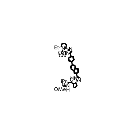 CC[C@H]1CCC[C@@H](c2ncc(-c3ccc(-c4ccc5cc(-c6cnc([C@@H]7CCCC7C(=O)[C@@H](NC(=O)OC)C(C)C)[nH]6)ccc5c4)cc3)[nH]2)N1C(=O)OC(C)(C)C